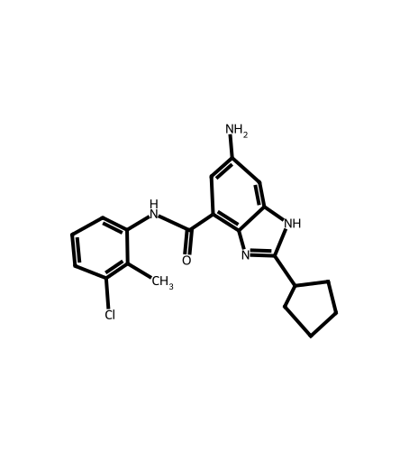 Cc1c(Cl)cccc1NC(=O)c1cc(N)cc2[nH]c(C3CCCC3)nc12